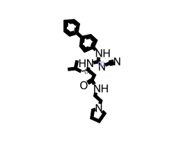 CC(C)C[C@@H](CC(=O)NCCN1CCCC1)N/C(=N/C#N)Nc1ccc(-c2ccccc2)cc1